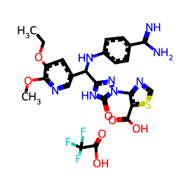 CCOc1cc(C(Nc2ccc(C(=N)N)cc2)c2nn(-c3ncsc3C(=O)O)c(=O)[nH]2)cnc1OC.O=C(O)C(F)(F)F